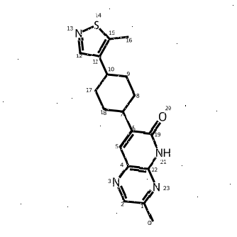 Cc1cnc2cc(C3CCC(c4cnsc4C)CC3)c(=O)[nH]c2n1